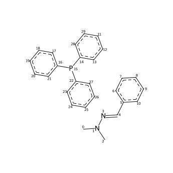 CN(C)N=Cc1ccccc1.c1ccc(P(c2ccccc2)c2ccccc2)cc1